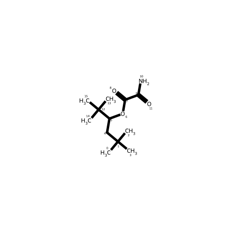 CC(C)(C)CC(OC(=O)C(N)=O)C(C)(C)C